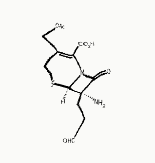 CC(=O)OCC1=C(C(=O)O)N2C(=O)[C@@](N)(CCC=O)[C@H]2SC1